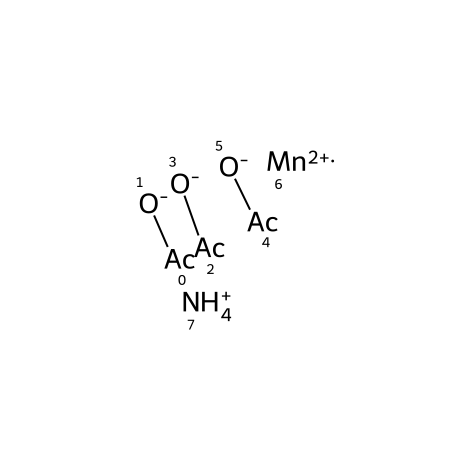 CC(=O)[O-].CC(=O)[O-].CC(=O)[O-].[Mn+2].[NH4+]